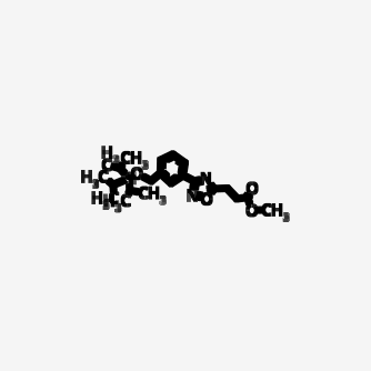 COC(=O)CCc1nc(-c2cccc(CO[Si](C(C)C)(C(C)C)C(C)C)c2)no1